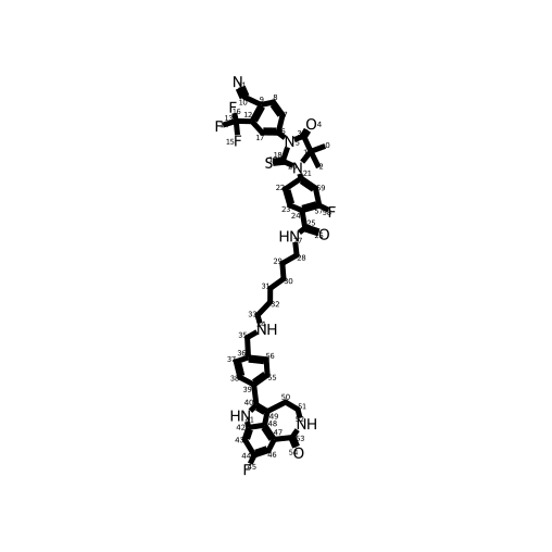 CC1(C)C(=O)N(c2ccc(C#N)c(C(F)(F)F)c2)C(=S)N1c1ccc(C(=O)NCCCCCCNCc2ccc(-c3[nH]c4cc(F)cc5c4c3CCNC5=O)cc2)c(F)c1